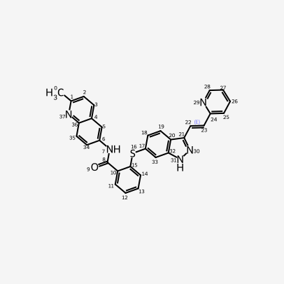 Cc1ccc2cc(NC(=O)c3ccccc3Sc3ccc4c(/C=C/c5ccccn5)n[nH]c4c3)ccc2n1